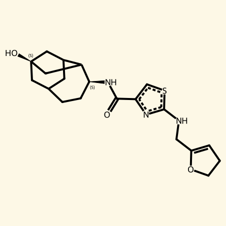 O=C(N[C@H]1CCC2CC3C[C@@](O)(C2)CC31)c1csc(NCC2=CCCO2)n1